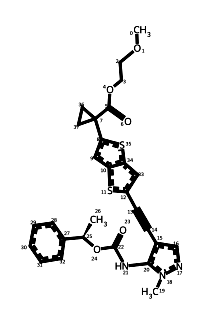 COCCOC(=O)C1(c2cc3sc(C#Cc4cnn(C)c4NC(=O)O[C@H](C)c4ccccc4)cc3s2)CC1